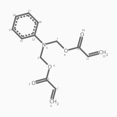 C=CC(=O)OCN(COC(=O)C=C)c1ccccc1